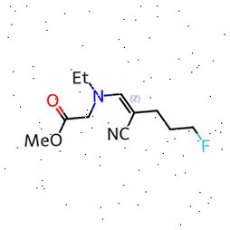 CCN(/C=C(\C#N)CCCF)CC(=O)OC